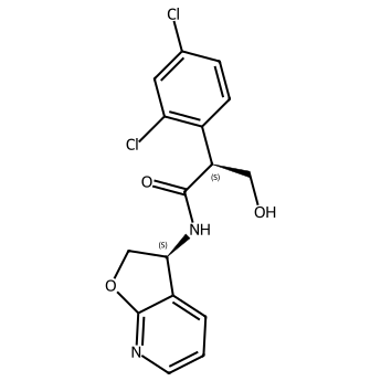 O=C(N[C@@H]1COc2ncccc21)[C@H](CO)c1ccc(Cl)cc1Cl